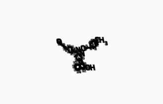 CN1CCN(CCCOc2nc3c(c(N4CCN(C=CC=O)CC4)n2)CCN(c2cc(O)cc4ccccc24)C3)CC1